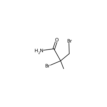 CC(Br)(CBr)C(N)=O